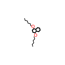 CCCCCCOc1ccc(OCCCCCC)c2ccccc12